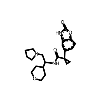 O=C(NC(CN1CCCC1)C1CCOCC1)C1(c2ccc3oc(=O)[nH]c3c2)CC1